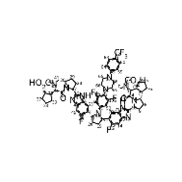 CN(C(=O)O)[C@H](C(=O)N1CCC[C@H]1c1nc2cc(F)c([C@H]3CC[C@H](c4cc5[nH]c([C@@H]6CCCN6C(=O)[C@H](C6CCCC6)N(C)C(=O)O)nc5cc4F)N3c3cc(F)c(N4CCN(c5ccc(C(F)(F)F)cc5)CC4)c(F)c3)cc2[nH]1)C1CCCC1